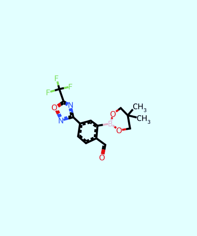 CC1(C)COB(c2cc(-c3noc(C(F)(F)F)n3)ccc2C=O)OC1